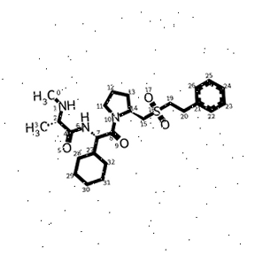 CN[C@@H](C)C(=O)N[C@H](C(=O)N1CCC[C@H]1CS(=O)(=O)CCc1ccccc1)C1CCCCC1